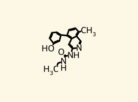 CCNC(=O)Nc1cc2c(-c3cccc(O)c3)ccc(C)c2cn1